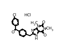 Cl.Cn1c(=O)c2[nH]c(Cc3ccc(C(=O)c4ccc(Cl)cc4)cc3)nc2n(C)c1=O